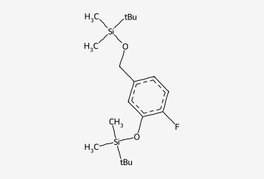 CC(C)(C)[Si](C)(C)OCc1ccc(F)c(O[Si](C)(C)C(C)(C)C)c1